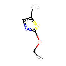 O=Cc1cnc(OCC(F)(F)F)s1